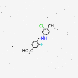 Cc1ccc(NCc2ccc(C(=O)O)cc2F)cc1Cl